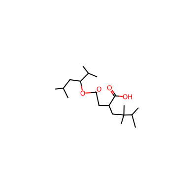 CC(C)CC(OC(=O)CC(CC(C)(C)C(C)C)C(=O)O)C(C)C